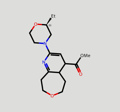 CC[C@H]1CN(C2=CC(C(=O)OC)C3CCOCCC3=N2)CCO1